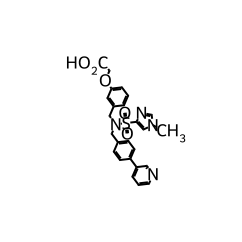 Cn1cnc(S(=O)(=O)N(Cc2ccc(-c3cccnc3)cc2)Cc2cccc(OCC(=O)O)c2)c1